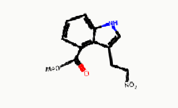 COC(=O)c1cccc2[nH]cc(CC[N+](=O)[O-])c12